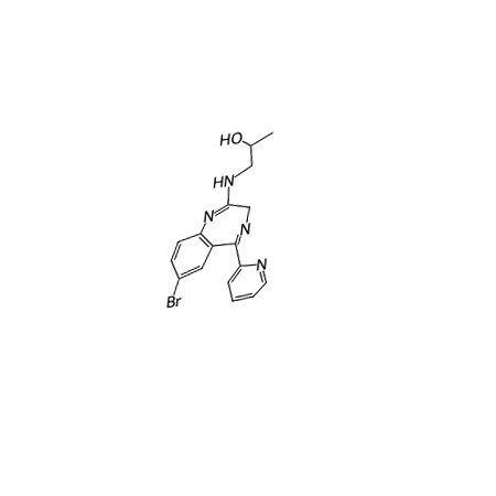 CC(O)CNC1=Nc2ccc(Br)cc2C(c2ccccn2)=NC1